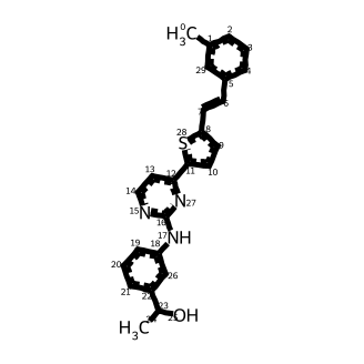 Cc1cccc(C=Cc2ccc(-c3ccnc(Nc4cccc(C(C)O)c4)n3)s2)c1